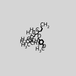 C=C/C=C\[C@H](C)[C@H](OCc1ccc(OC)cc1)[C@@H](C)CO[Si](C)(C)C(C)(C)C